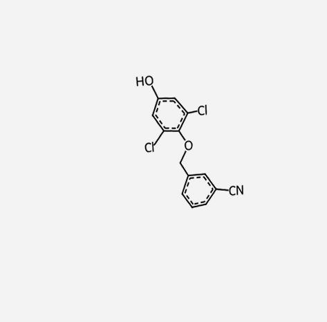 N#Cc1cccc(COc2c(Cl)cc(O)cc2Cl)c1